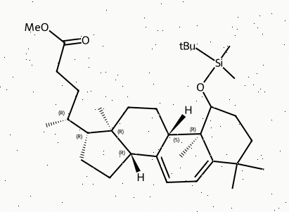 COC(=O)CC[C@@H](C)[C@H]1CC[C@H]2C3=CC=C4C(C)(C)CCC(O[Si](C)(C)C(C)(C)C)[C@]4(C)[C@H]3CC[C@]12C